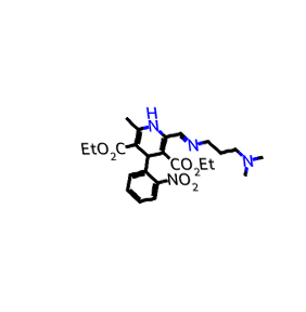 CCOC(=O)C1=C(C)NC(C=NCCCN(C)C)=C(C(=O)OCC)C1c1ccccc1[N+](=O)[O-]